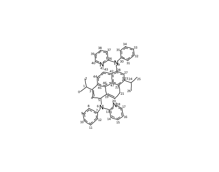 CC(C)C1=CC(N(c2ccccc2)c2ccccn2)C2=CCc3c(C(C)C)cc(N(c4ccccc4)c4ccccn4)c4ccc1c2c34